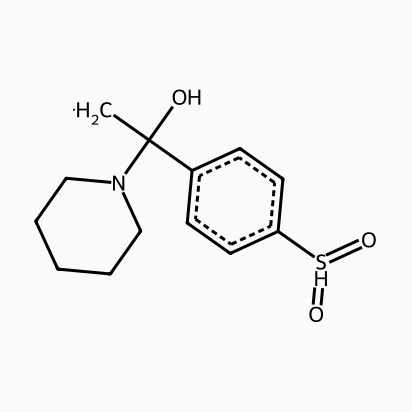 [CH2]C(O)(c1ccc([SH](=O)=O)cc1)N1CCCCC1